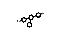 Brc1ccc(-c2ccc(-c3ccc(Br)cc3)c(-c3ccccc3)c2)cc1